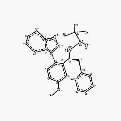 COc1ccc(-c2noc3ccccc23)c([C@H](Cc2ccccn2)N[S+]([O-])C(C)(C)C)c1